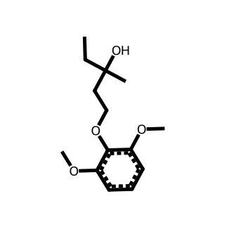 CCC(C)(O)CCOc1c(OC)cccc1OC